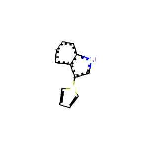 C1=C[SH](c2c[nH]c3ccccc23)C=C1